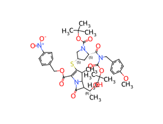 COc1ccc(CN(C(=O)OC(C)(C)C)C(=O)[C@@H]2C[C@H](SC3=C(C(=O)OCc4ccc([N+](=O)[O-])cc4)N4C(=O)C([C@@H](C)O)C4C3C)CN2C(=O)OC(C)(C)C)cc1